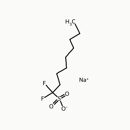 CCCCCCCCC(F)(F)S(=O)(=O)[O-].[Na+]